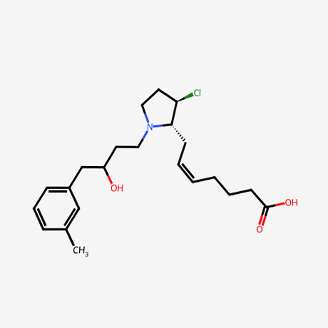 Cc1cccc(CC(O)CCN2CC[C@@H](Cl)[C@@H]2C/C=C\CCCC(=O)O)c1